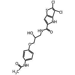 CC(=O)Nc1ccc(OCC(O)CNC(=O)c2cc3sc(Cl)c(Cl)c3[nH]2)cc1